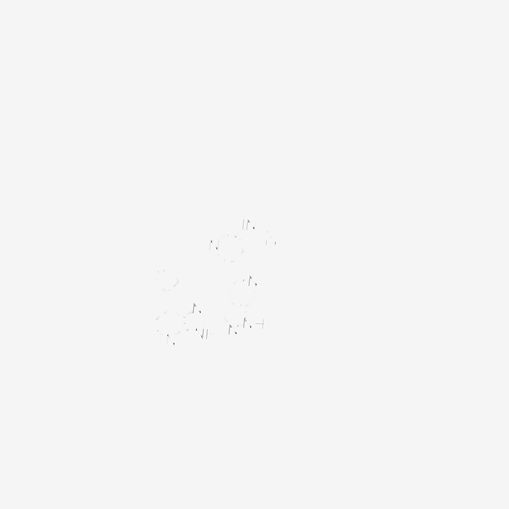 O=C(Nc1cncc(-c2cc3c(-c4nc5c(-c6ccoc6)ccnc5[nH]4)n[nH]c3cn2)c1)C1CCCCC1